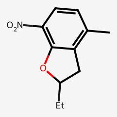 CCC1Cc2c(C)ccc([N+](=O)[O-])c2O1